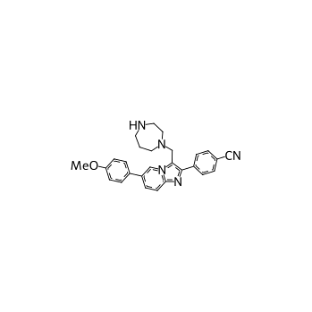 COc1ccc(-c2ccc3nc(-c4ccc(C#N)cc4)c(CN4CCCNCC4)n3c2)cc1